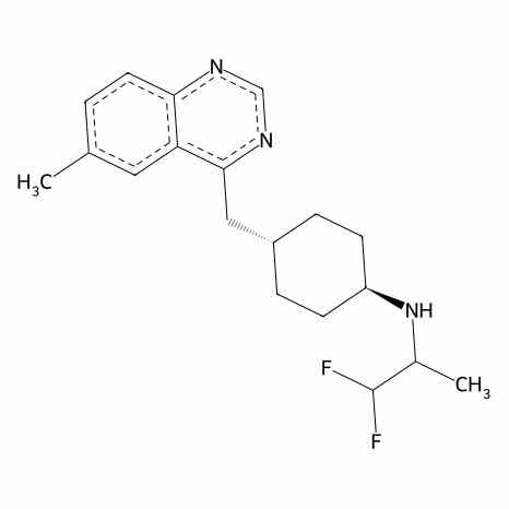 Cc1ccc2ncnc(C[C@H]3CC[C@H](NC(C)C(F)F)CC3)c2c1